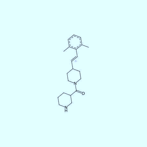 Cc1cccc(C)c1/C=C/C1CCN(C(=O)C2CCCNC2)CC1